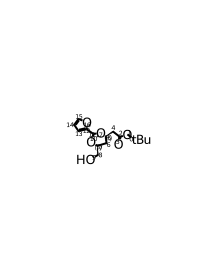 CC(C)(C)OC(=O)C[C@H]1C[C@@H](CO)OC(c2ccco2)O1